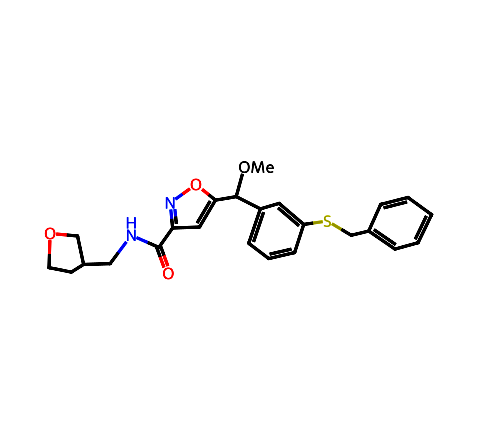 COC(c1cccc(SCc2ccccc2)c1)c1cc(C(=O)NCC2CCOC2)no1